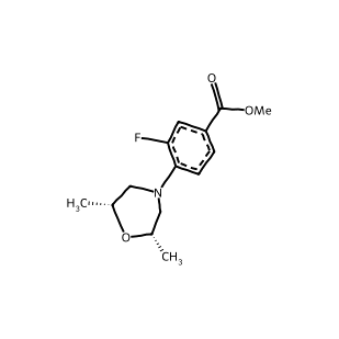 COC(=O)c1ccc(N2C[C@@H](C)O[C@@H](C)C2)c(F)c1